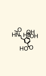 CC(=O)NCCc1cccc(C(=O)O)c1.OBO